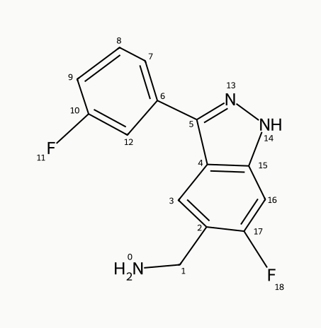 NCc1cc2c(-c3cccc(F)c3)n[nH]c2cc1F